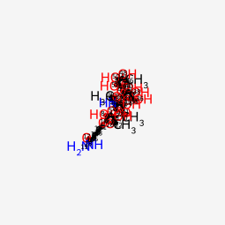 CO[C@@H]1O[C@H](O[C@@H]2C(O)[C@H](OCCCCCC(=O)NN)OC(C)[C@@H]2O)C(NC(C)=O)C(O[C@H]2OC(CO)[C@H](O)[C@H](O)C2O[C@@H]2OC(C)[C@H](O)[C@H](O)C2O)[C@@H]1O